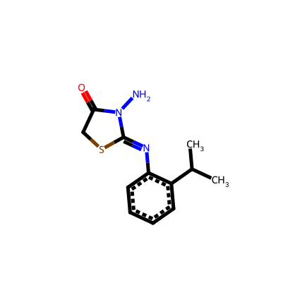 CC(C)c1ccccc1N=C1SCC(=O)N1N